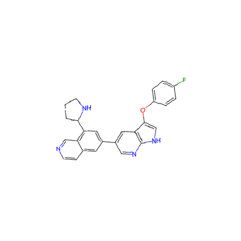 Fc1ccc(Oc2c[nH]c3ncc(-c4cc(C5CCCN5)c5cnccc5c4)cc23)cc1